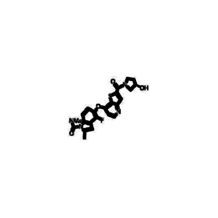 CNC(=O)n1c(C)cc2c(F)c(Oc3ccnc4cc(C(=O)N5CC[C@@H](O)C5)sc34)ccc21